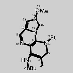 CCCCNC1=C(C)CN(CC)C2=C1N=CC1=CN(OC)CN12